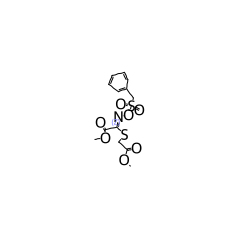 COC(=O)CS/C(=N\OS(=O)(=O)Cc1ccccc1)C(=O)OC